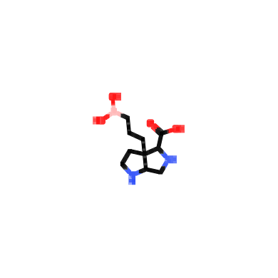 O=C(O)C1NCC2NCCC21CCCB(O)O